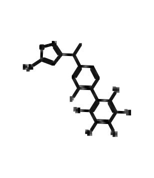 [2H]c1c([2H])c([2H])c(-c2ccc(C(C)c3cc(N)on3)cc2F)c([2H])c1[2H]